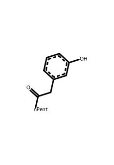 CCCCCC(=O)Cc1cccc(O)c1